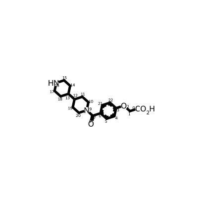 O=C(O)COc1ccc(C(=O)N2CCC(C3CCNCC3)CC2)cc1